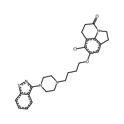 O=C1CCc2c(Cl)c(OCCCCN3CCN(c4nsc5ccccc45)CC3)cc3c2N1CC3